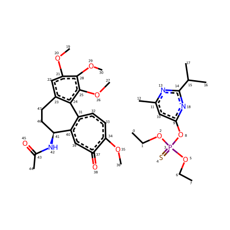 CCOP(=S)(OCC)Oc1cc(C)nc(C(C)C)n1.COc1cc2c(c(OC)c1OC)-c1ccc(OC)c(=O)cc1[C@@H](NC(C)=O)CC2